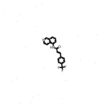 O=C(C=Cc1ccc(C(F)(F)F)cc1)Nc1cccc2cnccc12